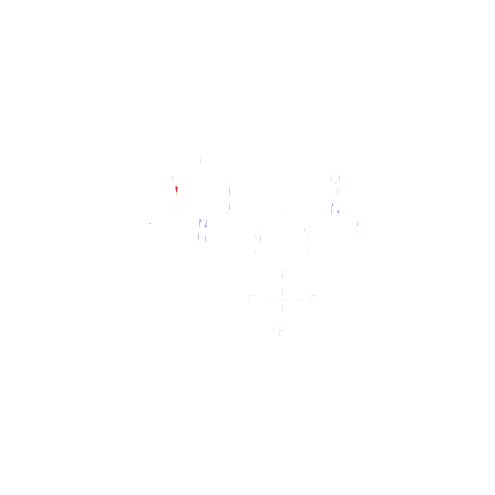 CC(C)(C)[S@@+]([O-])NC(CF)c1cc([N+](=O)[O-])cc(C(F)(F)F)c1